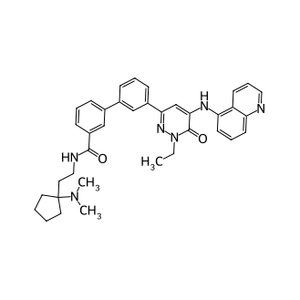 CCn1nc(-c2cccc(-c3cccc(C(=O)NCCC4(N(C)C)CCCC4)c3)c2)cc(Nc2cccc3ncccc23)c1=O